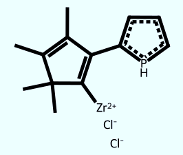 CC1=C(C)C(C)(C)[C]([Zr+2])=C1c1ccc[pH]1.[Cl-].[Cl-]